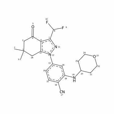 CC1(C)CC(=O)c2c(C(F)F)nn(-c3ccc(C#N)c(NC4CCOCC4)c3)c2C1